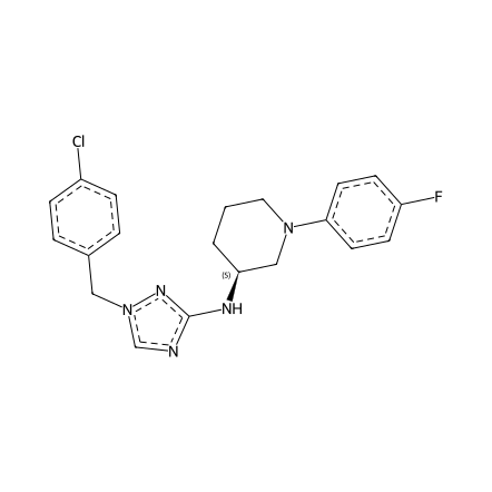 Fc1ccc(N2CCC[C@H](Nc3ncn(Cc4ccc(Cl)cc4)n3)C2)cc1